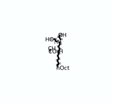 CC(=O)O.CCCCCCCCC=CCCCCCCCCN(CCO)CCO